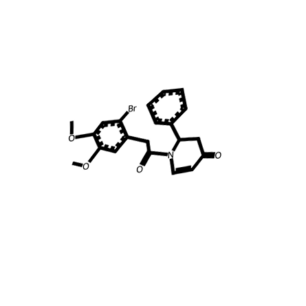 COc1cc(Br)c(CC(=O)N2C=CC(=O)CC2c2ccccc2)cc1OC